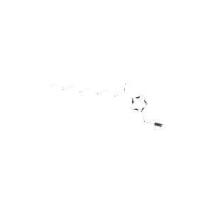 CCCCCCCCCC(C)c1nc(C(C)C#N)c[nH]1